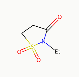 CCN1C(=O)CCS1(=O)=O